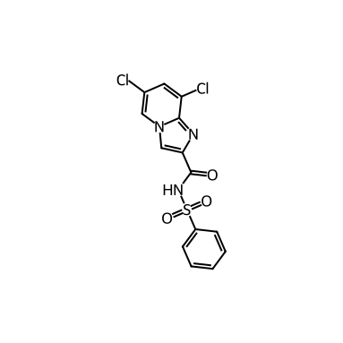 O=C(NS(=O)(=O)c1ccccc1)c1cn2cc(Cl)cc(Cl)c2n1